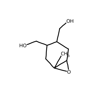 CC12CC(CO)C(CO)CC1O2